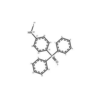 O=P(c1ccccc1)(c1ccccc1)c1ccc(NI)cc1